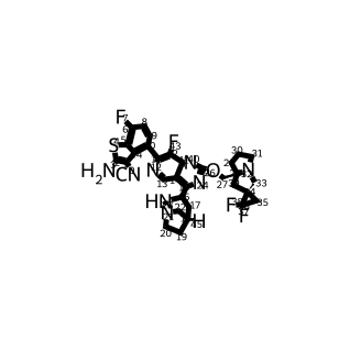 N#Cc1c(N)sc2c(F)ccc(-c3ncc4c(C5C[C@@H]6CCN(C6)N5)nc(OC[C@@]56CCCN5C[C@@]5(CC5(F)F)C6)nc4c3F)c12